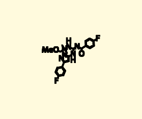 COCC(C)(C)N/C(=N/C(=O)c1ccc(F)cc1)Nc1cc(-c2ccc(F)cc2)n[nH]1